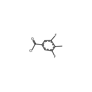 Cc1c(F)cc(C(=O)Cl)cc1F